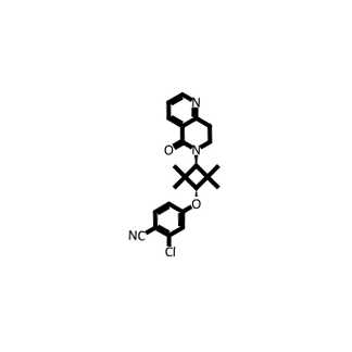 CC1(C)[C@H](Oc2ccc(C#N)c(Cl)c2)C(C)(C)[C@H]1N1CCc2ncccc2C1=O